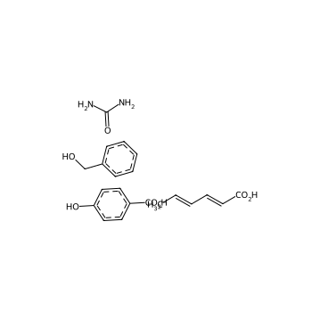 C/C=C/C=C/C(=O)O.NC(N)=O.O=C(O)c1ccc(O)cc1.OCc1ccccc1